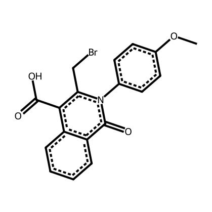 COc1ccc(-n2c(CBr)c(C(=O)O)c3ccccc3c2=O)cc1